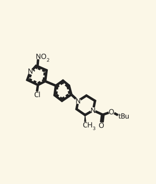 C[C@H]1CN(c2ccc(-c3cc([N+](=O)[O-])ncc3Cl)cc2)CCN1C(=O)OC(C)(C)C